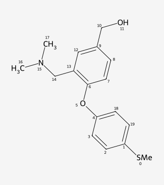 CSc1ccc(Oc2ccc(CO)cc2CN(C)C)cc1